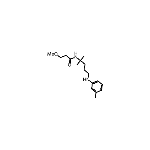 COCCC(=O)NC(C)(C)CCCNc1cccc(C)c1